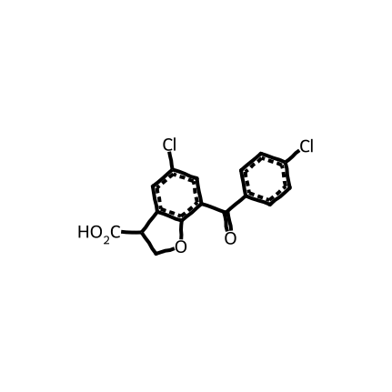 O=C(c1ccc(Cl)cc1)c1cc(Cl)cc2c1OCC2C(=O)O